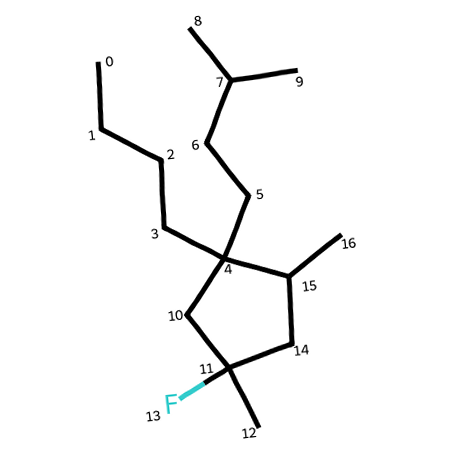 CCCCC1(CCC(C)C)CC(C)(F)CC1C